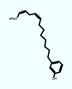 CCCCC/C=C\C/C=C\CCCCCCCc1cccc(O)c1